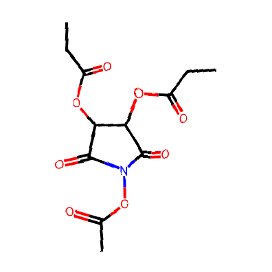 CCC(=O)OC1C(=O)N(OC(C)=O)C(=O)C1OC(=O)CC